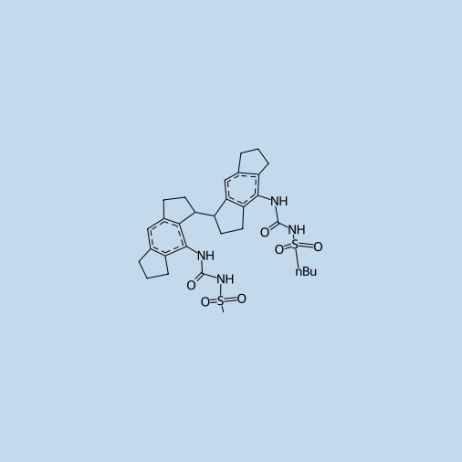 CCCCS(=O)(=O)NC(=O)Nc1c2c(cc3c1CCC3C1CCc3cc4c(c(NC(=O)NS(C)(=O)=O)c31)CCC4)CCC2